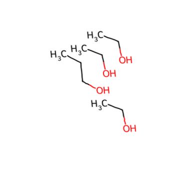 CCCO.CCO.CCO.CCO